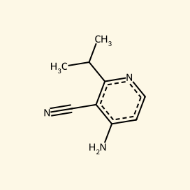 CC(C)c1nccc(N)c1C#N